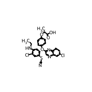 CCNc1ccc(SC#N)cc1Cl.C[C@@H](Oc1ccc(Oc2cnc3cc(Cl)ccc3n2)cc1)C(=O)O